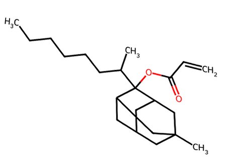 C=CC(=O)OC1(C(C)CCCCCC)C2CC3CC1CC(C)(C3)C2